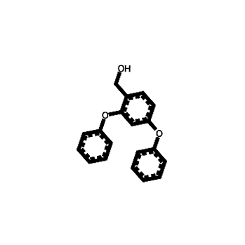 OCc1ccc(Oc2ccccc2)cc1Oc1ccccc1